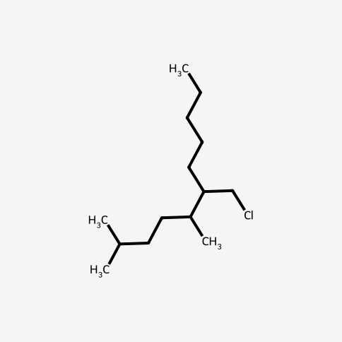 CCCCCC(CCl)C(C)CCC(C)C